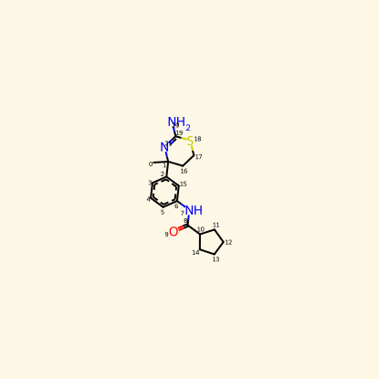 CC1(c2cccc(NC(=O)C3CCCC3)c2)CCSC(N)=N1